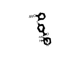 COc1ccccc1Sc1ccc(C(=O)N[C@H]2CN3CCC2CC3)cc1